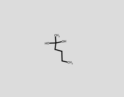 CCCCC(C)(O)O